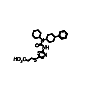 O=C(O)CCSc1cnc(NC(=O)N(C2CCCCC2)C2CCC(c3ccccc3)CC2)s1